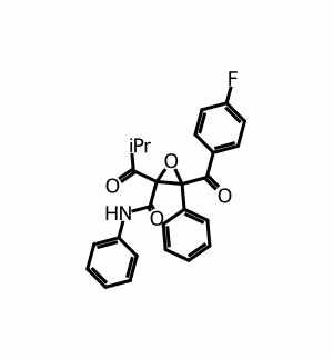 CC(C)C(=O)C1(C(=O)Nc2ccccc2)OC1(C(=O)c1ccc(F)cc1)c1ccccc1